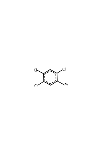 CC(C)c1cc(Cl)c(Cl)cc1Cl